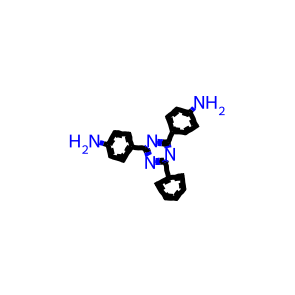 Nc1ccc(-c2nc(-c3ccccc3)nc(-c3ccc(N)cc3)n2)cc1